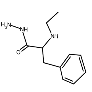 CCNC(Cc1ccccc1)C(=O)NN